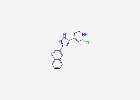 ClC1C=C(c2cc(-c3cnc4ccccc4c3)n[nH]2)CCN1